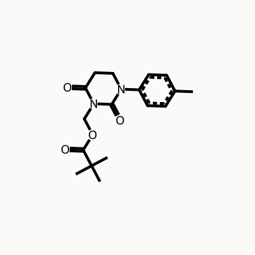 Cc1ccc(N2CCC(=O)N(COC(=O)C(C)(C)C)C2=O)cc1